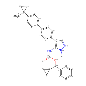 CCOC(=O)C1(c2ccc(-c3ccc(-c4cnn(C)c4NC(=O)OC(c4ccccc4)C4CC4)cc3)cc2)CC1